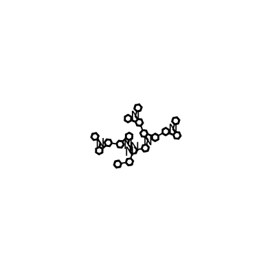 c1ccc(-c2cccc(-c3cc(-c4cccc(-n5c6ccc(-c7ccc8c(c7)c7ccccc7n8-c7ccccc7)cc6c6cc(-c7ccc8c(c7)c7ccccc7n8-c7ccccc7)ccc65)c4)nc(-n4c5ccccc5c5cc(-c6ccc7c(c6)c6ccccc6n7-c6ccccc6)ccc54)n3)c2)cc1